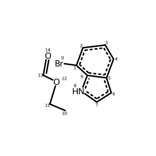 Brc1cccc2cc[nH]c12.CCOC=O